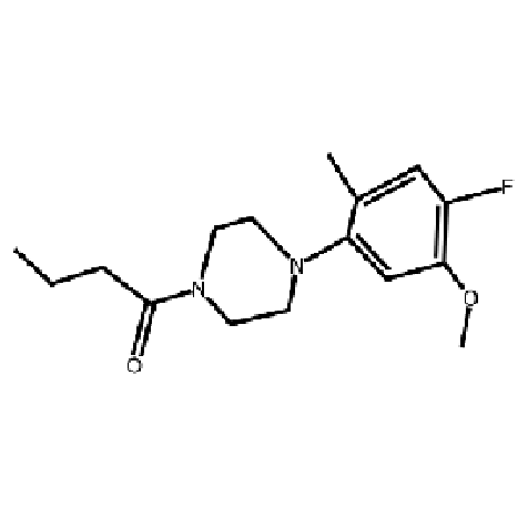 CCCC(=O)N1CCN(c2cc(OC)c(F)cc2C)CC1